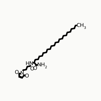 CCCCCCCCCCCCCCCCCCCCCCC(NC(=O)CCCN1C(=O)C=CC1=O)C(N)=O